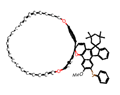 COc1cc2c3c(c4c(c2cc1Sc1ccccc1)-c1ccccc1C41CC(C)(C)CC(C)(C)C1)C=CC1(O3)C2=C=C=C(C=C2)OCCCCCCCCCCCCCCCCCCCCCCOc2ccc1cc2